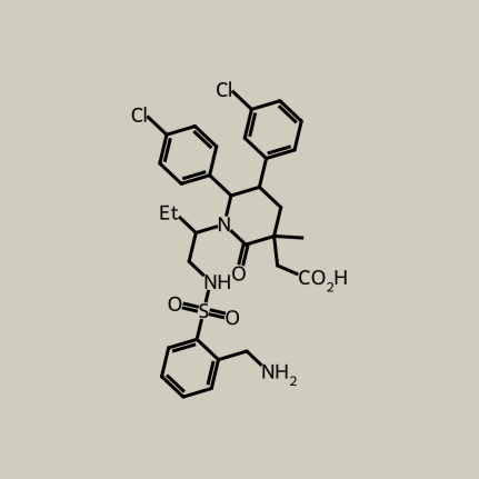 CCC(CNS(=O)(=O)c1ccccc1CN)N1C(=O)C(C)(CC(=O)O)CC(c2cccc(Cl)c2)C1c1ccc(Cl)cc1